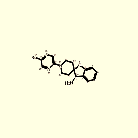 N[C@@H]1c2ccccc2OC12CCN(c1cnc(Br)cn1)CC2